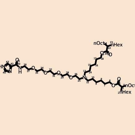 CCCCCCCCC(CCCCCC)C(=O)OCCCCCCN(CCCCCCOC(=O)C(CCCCCC)CCCCCCCC)CCOCCOCCOCCOCCNC(=O)c1c[nH]cn1